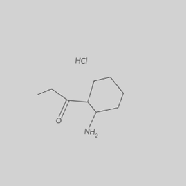 CCC(=O)C1CCCCC1N.Cl